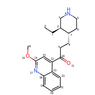 CC[C@H]1CNCC[C@@H]1CCC(=O)c1cc(OC)nc2ccccc12